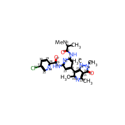 CNC(C)C(=O)Nc1cc(-c2c(C)nc(C)c3c(=O)n(C)n(C)c23)cc(NC(=O)c2ccc(Cl)cn2)n1